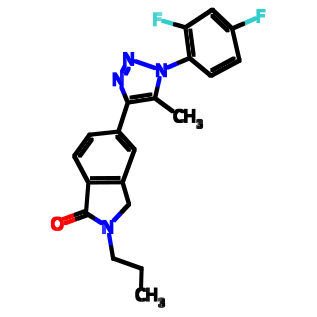 CCCN1Cc2cc(-c3nnn(-c4ccc(F)cc4F)c3C)ccc2C1=O